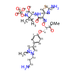 COC(=O)[C@H](COc1ccc(-c2cn(CCCN)[n+](C)c2)cc1)O/N=C(\C(=O)N[C@@H]1C(=O)N(OS(=O)(=O)[O-])C1(C)C)c1csc(N)n1